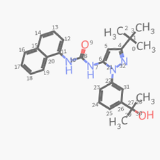 CC(C)(C)c1cc(NC(=O)Nc2cccc3ccccc23)n(-c2cccc(C(C)(C)O)c2)n1